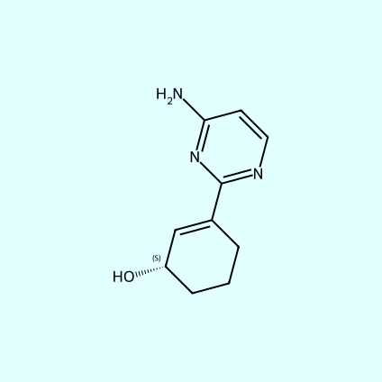 Nc1ccnc(C2=C[C@@H](O)CCC2)n1